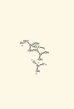 CC(=O)O.O[As](O)O.O[As](O)O.[O-][As]([O-])O.[Zn+2]